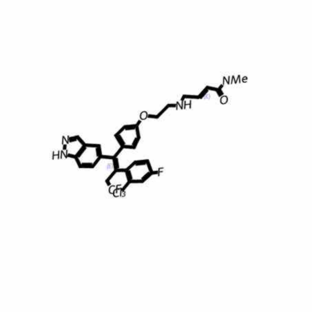 CNC(=O)/C=C/CNCCOc1ccc(/C(=C(/CC(F)(F)F)c2ccc(F)cc2Cl)c2ccc3[nH]ncc3c2)cc1